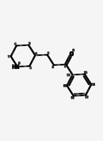 O=C(CCC1CCCNC1)c1ccccc1